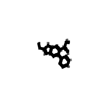 CCc1nc2cc(-c3ccccc3)c(C(=O)O)cc2s1